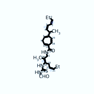 CC/C=C\C=C/C(C)C1=CCC=C(C(=O)NC/C(C)=C(\C/C=C\CC)NC(=S)NC=O)C=C1